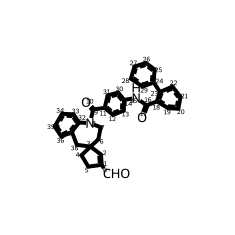 O=CC1=CC2(CC1)CCN(C(=O)c1ccc(NC(=O)c3ccccc3-c3ccccc3)cc1)c1ccccc1C2